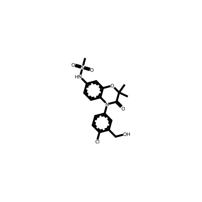 CC1(C)Oc2cc(NS(C)(=O)=O)ccc2N(c2ccc(Cl)c(CO)c2)C1=O